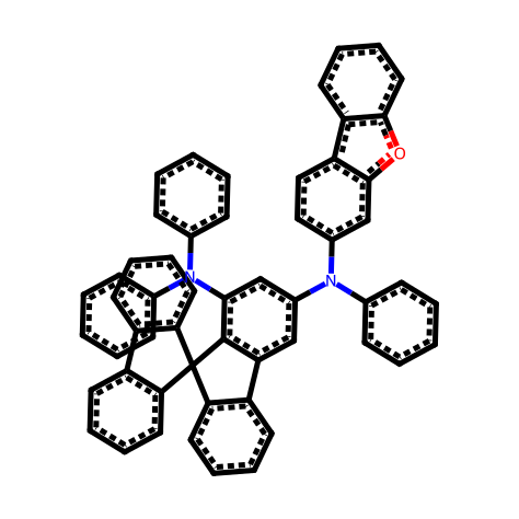 c1ccc(N(c2cc3c(c(N(c4ccccc4)c4ccccc4)c2)C2(c4ccccc4-c4ccccc42)c2ccccc2-3)c2ccc3c(c2)oc2ccccc23)cc1